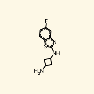 NC1CC(Nc2nc3cc(F)ccc3s2)C1